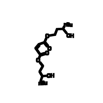 CCCCC(O)CCOC(=O)/C=C\C(=O)OCCC(O)CCCC